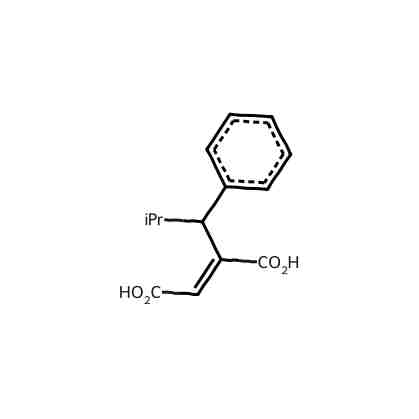 CC(C)C(/C(=C\C(=O)O)C(=O)O)c1ccccc1